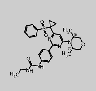 CCNC(=O)Nc1ccc(-c2nc(N3[C@@H](C)COC[C@@H]3C)cc(C3(S(=O)(=O)c4ccccc4)CC3)n2)cc1